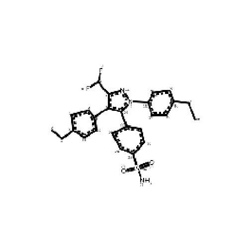 CCc1ccc(-c2c(C(F)F)nn(-c3ccc(CC)cc3)c2-c2ccc(S(N)(=O)=O)cc2)cc1